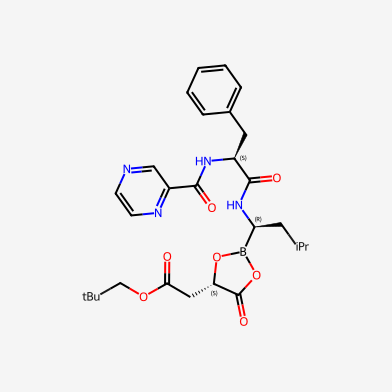 CC(C)C[C@H](NC(=O)[C@H](Cc1ccccc1)NC(=O)c1cnccn1)B1OC(=O)[C@H](CC(=O)OCC(C)(C)C)O1